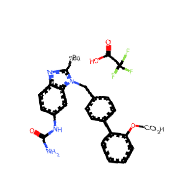 CCCCc1nc2ccc(NC(N)=O)cc2n1Cc1ccc(-c2ccccc2OC(=O)O)cc1.O=C(O)C(F)(F)F